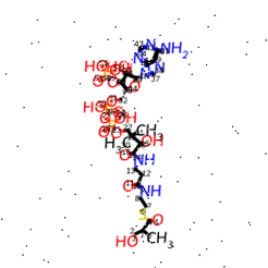 CC(CO)C(=O)SCCNC(=O)CCNC(=O)[C@H](O)C(C)(C)COP(=O)(O)OP(=O)(O)OC[C@H]1O[C@@H](n2cnc3c(N)ncnc32)[C@H](O)[C@@H]1OP(=O)(O)O